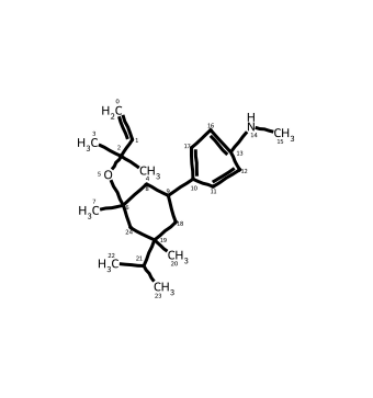 C=CC(C)(C)OC1(C)CC(c2ccc(NC)cc2)CC(C)(C(C)C)C1